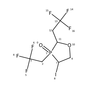 O=P1(CC(F)(F)F)C(I)COC1CC(F)(F)F